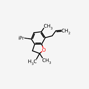 C=CCc1c(C)cc(C(C)C)c2c1OC(C)(C)C2